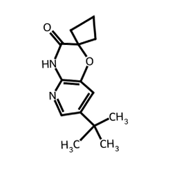 CC(C)(C)c1cnc2c(c1)OC1(CCC1)C(=O)N2